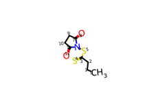 CCCC(=S)SN1C(=O)CCC1=O